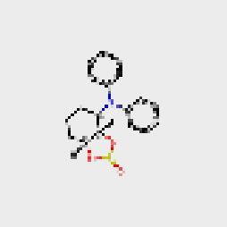 O=S1O[C@H]2[C@H](N(c3ccccc3)c3ccccc3)CCC[C@H]2O1